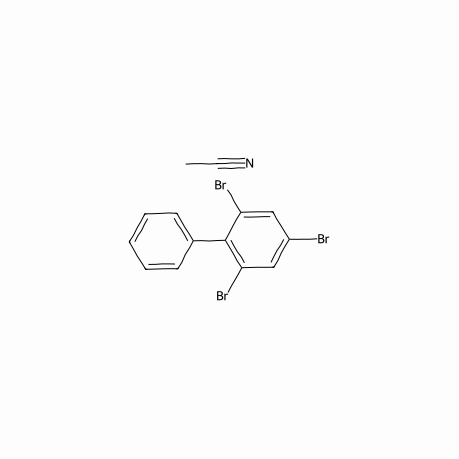 Brc1cc(Br)c(-c2ccccc2)c(Br)c1.CC#N